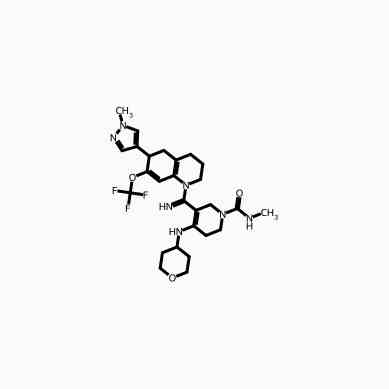 CNC(=O)N1CCC(NC2CCOCC2)=C(C(=N)N2CCCC3=C2C=C(OC(F)(F)F)C(c2cnn(C)c2)C3)C1